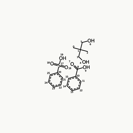 CC(C)(CO)CO.O=C(O)c1ccccc1.O=S(=O)(O)c1ccccc1